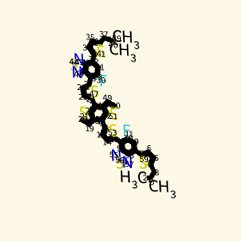 CC(C)Cc1ccc(-c2cc(F)c(-c3ccc(-c4c5ccsc5c(-c5ccc(-c6c(F)cc(-c7ccc(CC(C)C)s7)c7nsnc67)s5)c5ccsc45)s3)c3nsnc23)s1